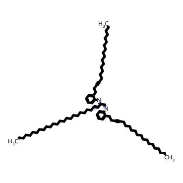 CCCCCCCCCCCCCCCCC#CCCc1ccccc1\N=C/C(/C=C/CCCCCCCCCCCCCCCCCCCCCCC)=N/c1ccccc1CCC#CCCCCCCCCCCCCCCCC